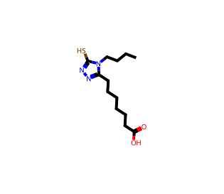 CCCCn1c(S)nnc1CCCCCCC(=O)O